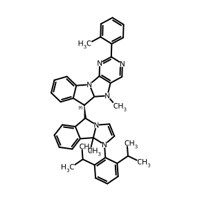 Cc1ccccc1-c1ncc2c(n1)N1c3ccccc3[C@H](C3c4ccccc4C4(C)N(c5c(C(C)C)cccc5C(C)C)C=CN34)C1N2C